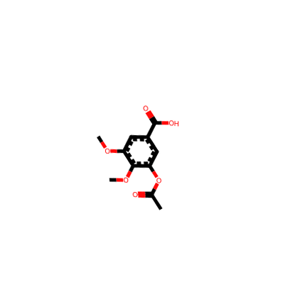 COc1cc(C(=O)O)cc(OC(C)=O)c1OC